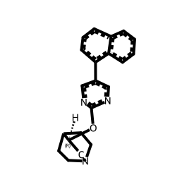 c1ccc2c(-c3cnc(O[C@H]4CN5CCC4CC5)nc3)cccc2c1